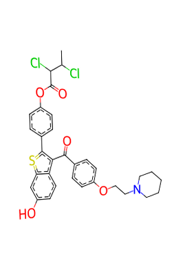 CC(Cl)C(Cl)C(=O)Oc1ccc(-c2sc3cc(O)ccc3c2C(=O)c2ccc(OCCN3CCCCC3)cc2)cc1